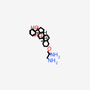 C[C@]12CCC(OC[C@@H](N)CN)CC1CC[C@@H]1[C@H]2CC[C@]2(C)C(O)(c3ccccc3)CC[C@@]12O